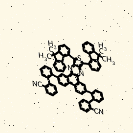 CC1(C)c2ccccc2-c2c(-c3sc(-c4cccc5c4-c4ccccc4C5(C)C)c4nc5c6cc(-c7ccccc7-c7ccccc7C#N)ccc6c6ccc(-c7ccccc7-c7ccccc7C#N)cc6c5nc34)cccc21